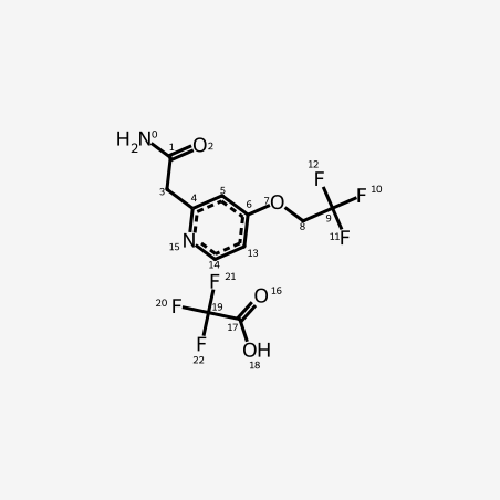 NC(=O)Cc1cc(OCC(F)(F)F)ccn1.O=C(O)C(F)(F)F